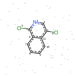 Clc1[c]nc(Cl)c2ccccc12